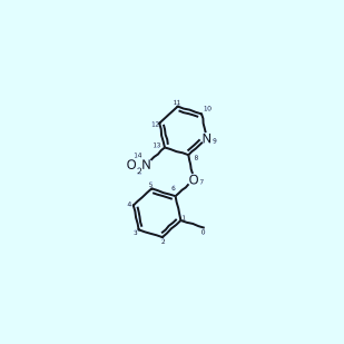 Cc1ccccc1Oc1ncccc1[N+](=O)[O-]